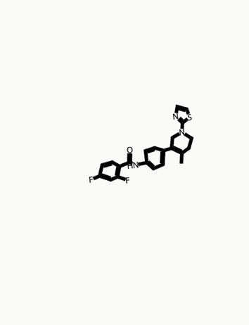 CC1=C(c2ccc(NC(=O)c3ccc(F)cc3F)cc2)CN(c2nccs2)CC1